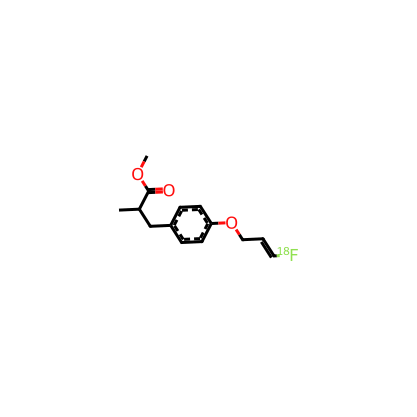 COC(=O)C(C)Cc1ccc(OC/C=C/[18F])cc1